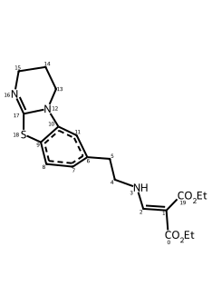 CCOC(=O)C(=CNCCc1ccc2c(c1)N1CCCN=C1S2)C(=O)OCC